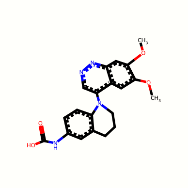 COc1cc2nncc(N3CCCc4cc(NC(=O)O)ccc43)c2cc1OC